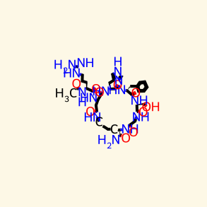 CC(=O)N[C@@H](CCCNC(=N)N)C(=O)N[C@H]1CC(=O)NCCCC[C@@H](C(N)=O)NC(=O)CNC(=O)[C@H](CO)NC(=O)[C@@H](Cc2ccccc2)NC(=O)[C@H](Cc2c[nH]cn2)NC1=O